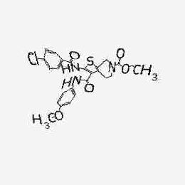 CCOC(=O)N1CCc2c(sc(NC(=O)c3ccc(Cl)cc3)c2C(=O)Nc2ccc(OC)cc2)C1